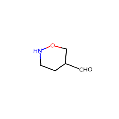 O=CC1CCNOC1